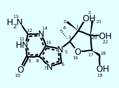 C[C@]1(O)[C@](C)(n2cnc3c(=O)[nH]c(N)nc32)O[C@H](CO)[C@@]1(C)O